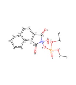 CCOP(=O)(OCC)O[N+]1(O)C(=O)c2ccc3ccccc3c2C1=O